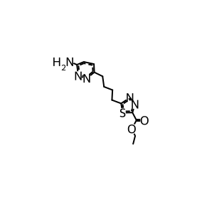 CCOC(=O)c1nnc(CCCCc2ccc(N)nn2)s1